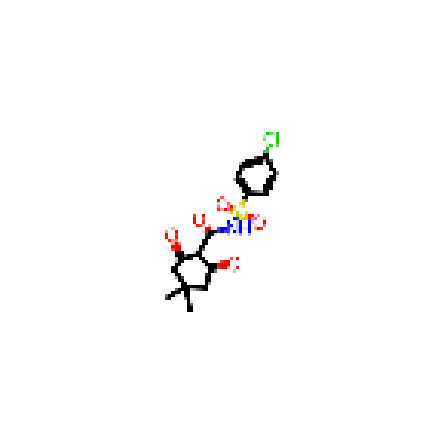 CC1(C)CC(=O)C(C(=O)NS(=O)(=O)c2ccc(Cl)cc2)C(=O)C1